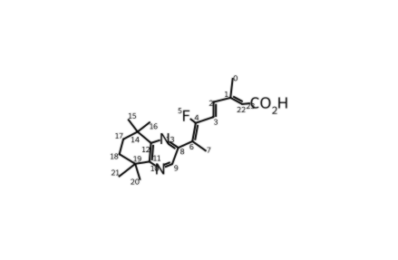 CC(C=CC(F)=C(C)c1cnc2c(n1)C(C)(C)CCC2(C)C)=CC(=O)O